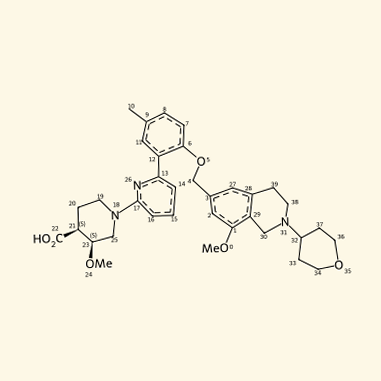 COc1cc(COc2ccc(C)cc2-c2cccc(N3CC[C@H](C(=O)O)[C@H](OC)C3)n2)cc2c1CN(C1CCOCC1)CC2